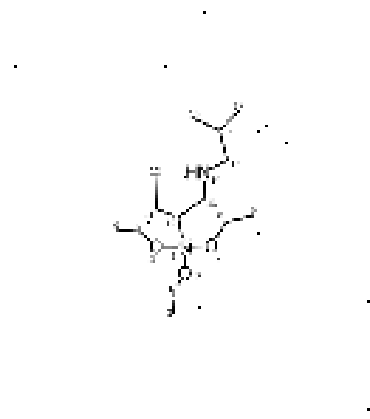 CCO[Si](OCC)(OCC)C(CC)CNCC(C)C